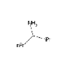 [CH2]CCC(N)C(C)C